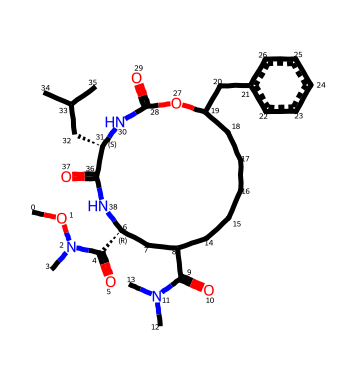 CON(C)C(=O)[C@H]1CC(C(=O)N(C)C)CCCCCC(Cc2ccccc2)OC(=O)N[C@@H](CC(C)C)C(=O)N1